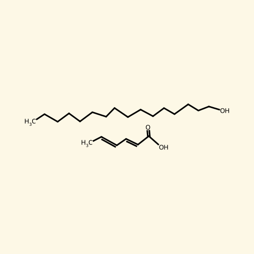 CC=CC=CC(=O)O.CCCCCCCCCCCCCCCCO